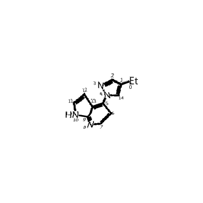 CCc1cnn(-c2ccnc3[nH]ccc23)c1